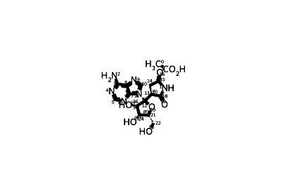 CC(=O)O.Nc1ncnc2c1ncn2[C@]1([C@H]2CC(=O)NC2=O)O[C@H](CO)[C@@H](O)[C@H]1O